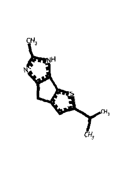 Cc1nc2c([nH]1)-c1sc(C(C)C)cc1C2